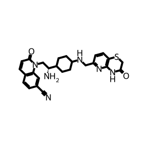 N#Cc1ccc2ccc(=O)n(C[C@@H](N)C3CCC(NCc4ccc5c(n4)NC(=O)CS5)CC3)c2c1